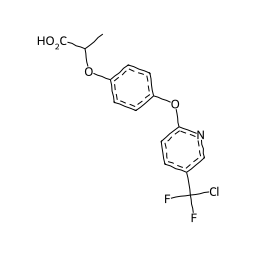 CC(Oc1ccc(Oc2ccc(C(F)(F)Cl)cn2)cc1)C(=O)O